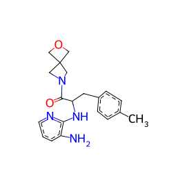 Cc1ccc(CC(Nc2ncccc2N)C(=O)N2CC3(COC3)C2)cc1